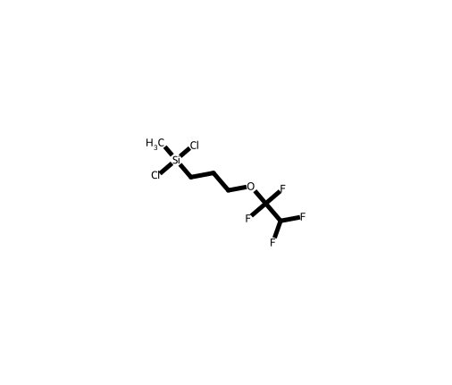 C[Si](Cl)(Cl)CCCOC(F)(F)C(F)F